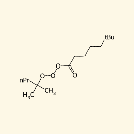 CCCC(C)(C)OOOC(=O)CCCCC(C)(C)C